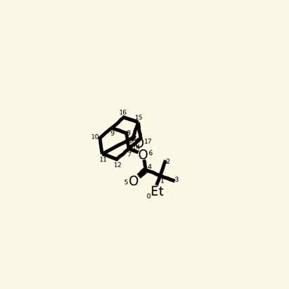 CCC(C)(C)C(=O)OC12CC3CC(C1)C(=O)C(C3)C2